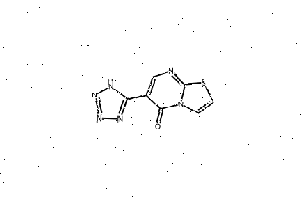 O=c1c(-c2nnn[nH]2)cnc2sccn12